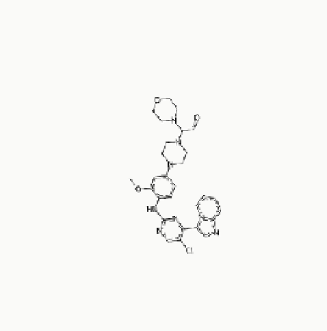 COc1cc(N2CCN(C(C=O)N3CCOCC3)CC2)ccc1Nc1ncc(Cl)c(-c2cnc3ccccn23)n1